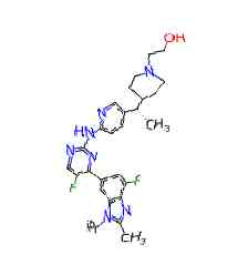 Cc1nc2c(F)cc(-c3nc(Nc4ccc([C@@H](C)C5CCN(CCO)CC5)cn4)ncc3F)cc2n1C(C)C